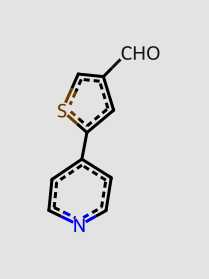 O=Cc1csc(-c2ccncc2)c1